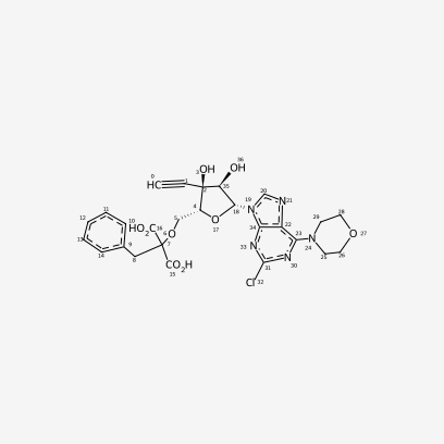 C#C[C@@]1(O)[C@@H](COC(Cc2ccccc2)(C(=O)O)C(=O)O)O[C@@H](n2cnc3c(N4CCOCC4)nc(Cl)nc32)[C@@H]1O